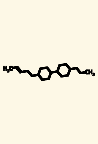 C/C=C/CCC1CCC(C2CCC(CCC)CC2)CC1